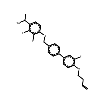 C=CCCOc1ccc(-c2ccc(COc3ccc(C(C)O)c(F)c3F)cc2)cc1F